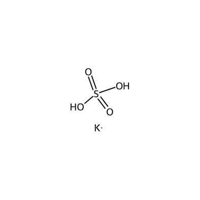 O=S(=O)(O)O.[K]